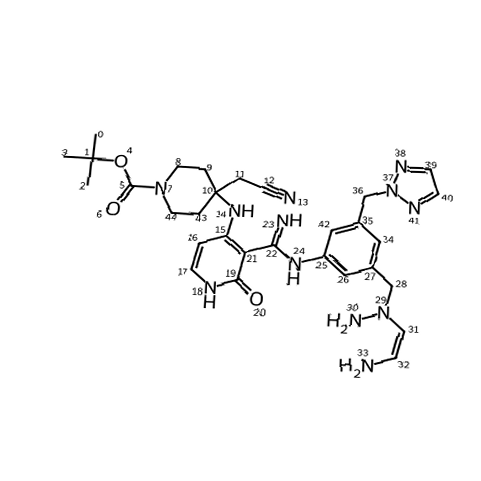 CC(C)(C)OC(=O)N1CCC(CC#N)(Nc2cc[nH]c(=O)c2C(=N)Nc2cc(CN(N)/C=C\N)cc(Cn3nccn3)c2)CC1